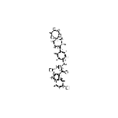 CCc1nc2ccc(Cl)cn2c1C(=O)NCc1ccc(N2CCC3(CC2)OCCCO3)cc1